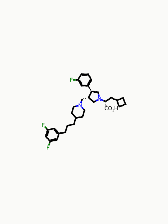 O=C(O)[C@@H](CC1CCC1)N1C[C@H](CN2CCC(CCCc3cc(F)cc(F)c3)CC2)[C@@H](c2cccc(F)c2)C1